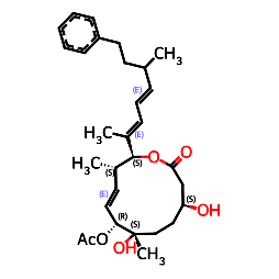 CC(=O)O[C@@H]1/C=C/[C@H](C)[C@@H](/C(C)=C/C=C/C(C)CCc2ccccc2)OC(=O)C[C@@H](O)CC[C@]1(C)O